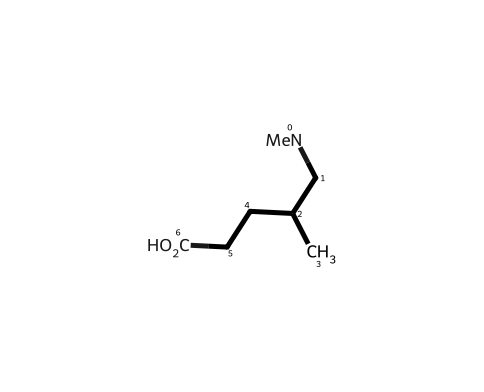 CNCC(C)CCC(=O)O